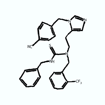 N#Cc1ccc(Cn2cncc2CCN(Cc2ccccc2C(F)(F)F)C(=S)NCc2ccccc2)cc1